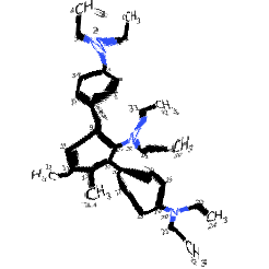 CCN(CC)c1ccc(-c2cc(C)c(C)c(-c3ccc(N(CC)CC)cc3)c2N(CC)CC)cc1